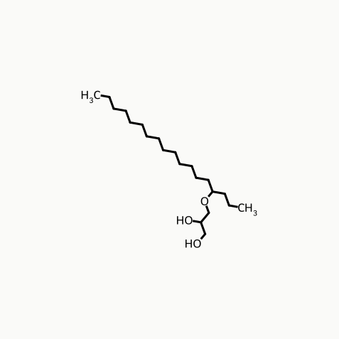 CCCCCCCCCCCCCCC(CCC)OCC(O)CO